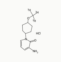 Cl.[2H]C([2H])([2H])OC1CCC(n2cccc(N)c2=O)CC1